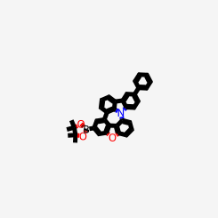 CC1(C)OB(c2cc3oc4cccc5c4c3c(c2)c2cccc3c4cc(-c6ccccc6)ccc4n5c23)OC1(C)C